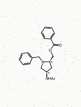 CC(=O)N[C@@H]1C[C@H](COC(=O)c2ccccc2)N(Cc2ccccc2)C1